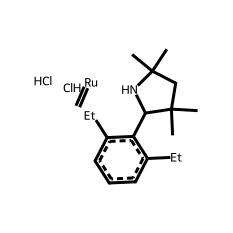 CCc1cccc(CC)c1C1NC(C)(C)CC1(C)C.Cl.Cl.[CH2]=[Ru]